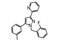 Cc1cccc(-c2cc(-c3ccccn3)nn2Cc2ccccc2F)c1